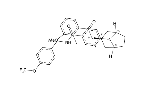 COc1cccc(C(=O)N[C@H]2C[C@H]3CC[C@@H](C2)N3c2ccc(C(=O)NCc3ccc(OC(F)(F)F)cc3)cn2)c1C